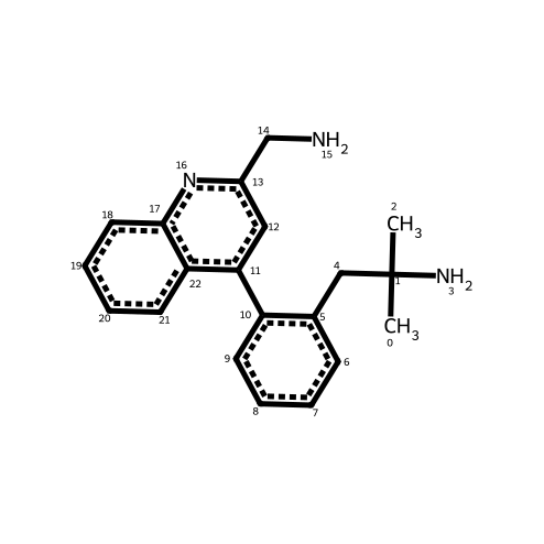 CC(C)(N)Cc1ccccc1-c1cc(CN)nc2ccccc12